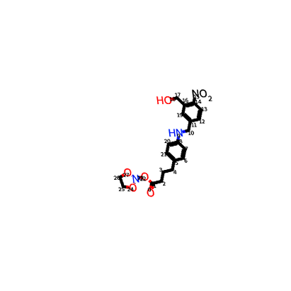 O=C(CCCc1ccc(NCc2ccc([N+](=O)[O-])c(CO)c2)cc1)ON1OCCO1